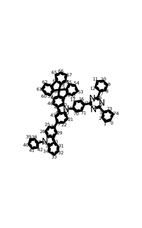 c1ccc(-c2nc(-c3ccccc3)nc(-c3ccc(-n4c5ccc(-c6ccc7c(c6)c6ccccc6n7-c6ccccc6)cc5c5ccc6c(c54)-c4ccccc4C64c5ccccc5-c5ccccc54)cc3)n2)cc1